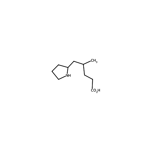 CC(CCC(=O)O)CC1CCCN1